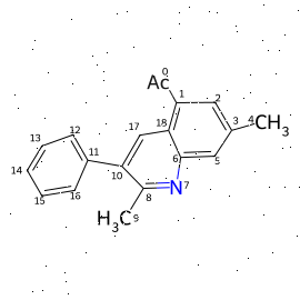 CC(=O)c1cc(C)cc2nc(C)c(-c3ccccc3)cc12